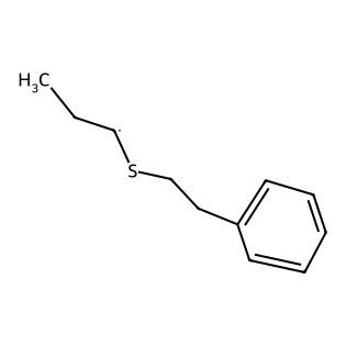 CC[CH]SCCc1ccccc1